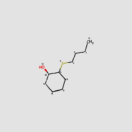 CCCCSC1CCCC[C@H]1O